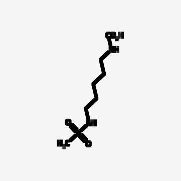 CS(=O)(=O)NCCCCCNC(=O)O